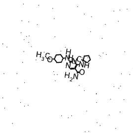 COC1CCC(Nc2ncc(C(N)=O)c(NC3(C)CCCC3)n2)CC1